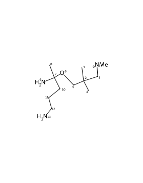 CNCC(C)(C)COC(C)(N)CCCN